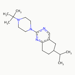 CC(C)C1CCc2nc(N3CCN(C(C)(C)C)CC3)ncc2C1